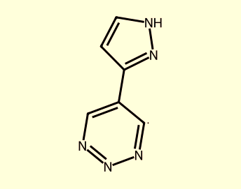 [c]1nnncc1-c1cc[nH]n1